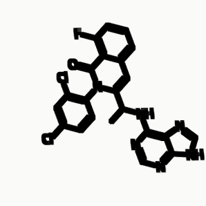 CC(Nc1ncnc2[nH]cnc12)c1cc2cccc(F)c2c(=O)n1-c1ccc(Cl)cc1Cl